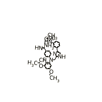 CCOc1cc(OC(C)C)c(F)c(N(Cc2nc(-c3cccc(NS(C)(=O)=O)c3)c[nH]2)c2ccc(C(=N)N)cc2)c1